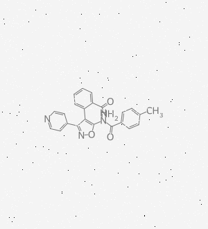 Cc1ccc(C(=O)Nc2onc(-c3ccncc3)c2-c2ccccc2C(N)=O)cc1